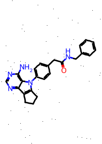 Nc1ncnc2c3c(n(-c4ccc(CC(=O)NCc5ccccc5)cc4)c12)CCC3